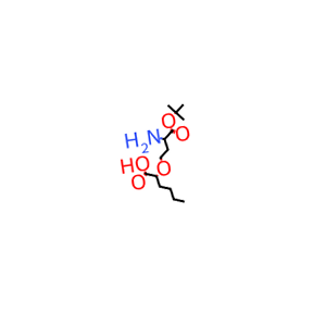 CCCCC(OCCC(N)C(=O)OC(C)(C)C)C(=O)O